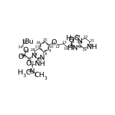 CN(C)C(=O)NC1=Nc2cc(OCCCC(=O)NC3CNCCN3C)ccc2CN1CC(=O)OCC(C)(C)C